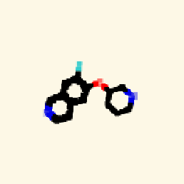 Fc1cc2cnccc2cc1OC1CCCNC1